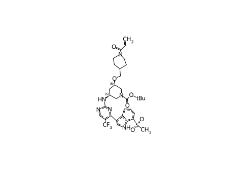 C=CC(=O)N1CCC(CO[C@@H]2C[C@H](Nc3ncc(C(F)(F)F)c(-c4c[nH]c5c(S(C)(=O)=O)cccc45)n3)CN(C(=O)OC(C)(C)C)C2)CC1